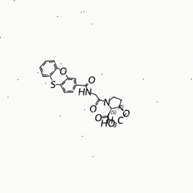 CO[C@@H]1CCN(C(=O)CNC(=O)c2ccc3c(c2)Oc2ccccc2S3)[C@@H]1C(=O)O